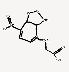 O=C(O)CNC1=CC=C([N+](=O)[O-])C2NONC12